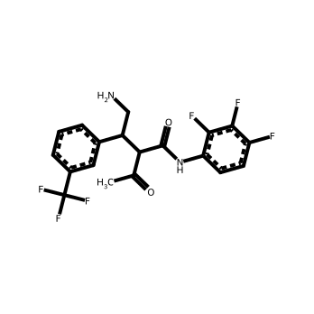 CC(=O)C(C(=O)Nc1ccc(F)c(F)c1F)C(CN)c1cccc(C(F)(F)F)c1